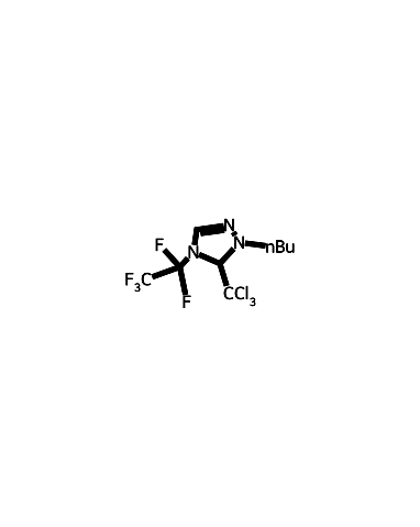 CCCCN1N=CN(C(F)(F)C(F)(F)F)C1C(Cl)(Cl)Cl